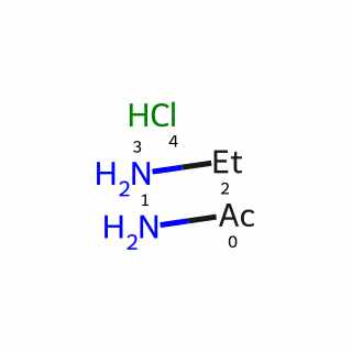 CC(N)=O.CCN.Cl